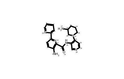 Nc1ccc(-c2ccccn2)nc1C(=O)Nc1cnccc1N1CCCC(N)C1